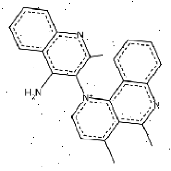 Cc1nc2ccccc2c(N)c1-[n+]1ccc(C)c2c(C)nc3ccccc3c21